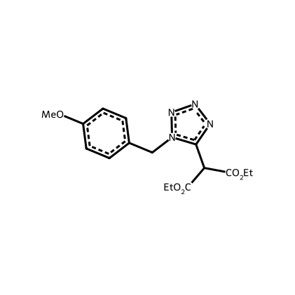 CCOC(=O)C(C(=O)OCC)c1nnnn1Cc1ccc(OC)cc1